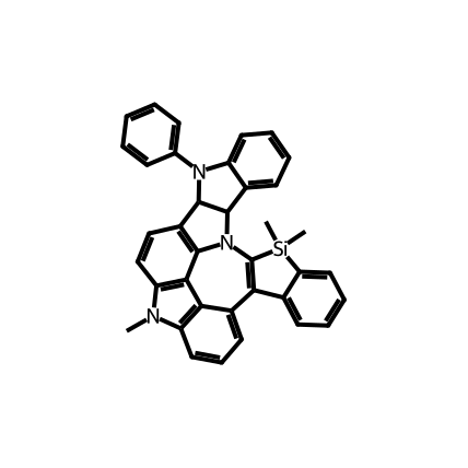 Cn1c2cccc3c4c(n5c6c(ccc1c6c32)C1C5c2ccccc2N1c1ccccc1)[Si](C)(C)c1ccccc1-4